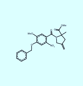 C=C1CN(C(=O)c2cc(OC)c(OCc3ccccc3)cc2[N+](=O)[O-])C(C)(C(=O)OC)C1